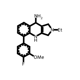 CCN1CC2=C(C1)C(N)c1cccc(-c3ccc(F)c(OC)c3)c1N2